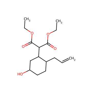 C=CCC1CCC(O)CC1C(C(=O)OCC)C(=O)OCC